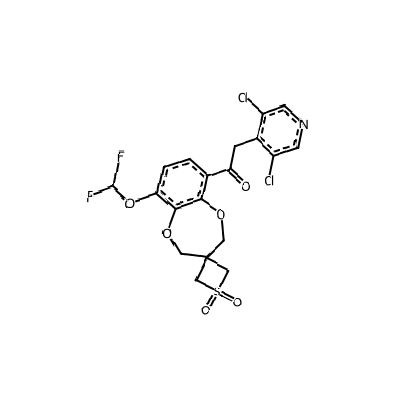 O=C(Cc1c(Cl)cncc1Cl)c1ccc(OC(F)F)c2c1OCC1(CO2)CS(=O)(=O)C1